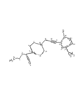 CCOC(=O)N1CCN(CC#Cc2cc(C)ccc2F)CC1